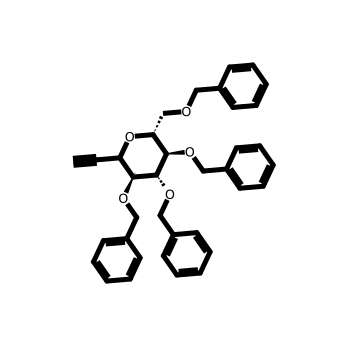 C#CC1O[C@H](COCc2ccccc2)[C@@H](OCc2ccccc2)[C@H](OCc2ccccc2)[C@H]1OCc1ccccc1